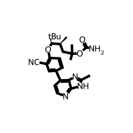 Cc1nc2c(-c3ccc(O[C@@H]([C@@H](C)CC(C)(C)OC(N)=O)C(C)(C)C)c(C#N)c3)ccnc2[nH]1